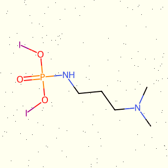 CN(C)CCCNP(=O)(OI)OI